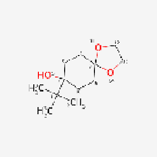 CC(C)(C)C1(O)CCC2(CC1)OCCO2